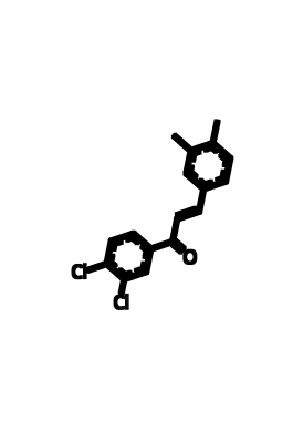 Cc1ccc(/C=C/C(=O)c2ccc(Cl)c(Cl)c2)cc1C